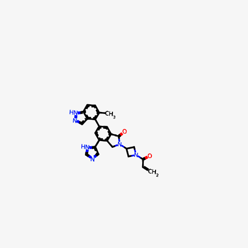 C=CC(=O)N1CC(N2Cc3c(cc(-c4c(C)ccc5[nH]ncc45)cc3-c3cnc[nH]3)C2=O)C1